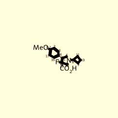 COc1ccc([C@@H]2CN(C3CCC3)C[C@@]2(F)C(=O)O)cc1